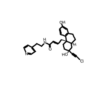 O=C(/C=C/C[C@]12CC[C@@](O)(C#CCl)C[C@@H]1CCc1cc(O)ccc12)NCCc1ccncc1